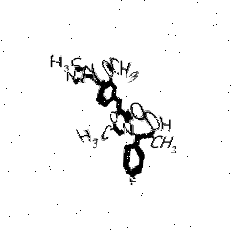 COc1cc(/C=C2\O[C@@H](C)CN([C@H](c3ccc(F)cc3)[C@@H](C)O)C2=O)ccc1-n1cnc(C)n1